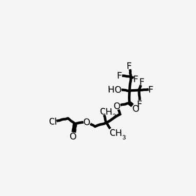 CC(C)(COC(=O)CCl)COC(=O)C(O)(C(F)(F)F)C(F)(F)F